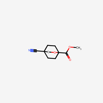 COC(=O)C12CCC(C#N)(CC1)CO2